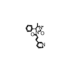 CC1[C@H](c2ccccc2)N(C(=O)/C=C/c2cccnc2)C(=O)N1C